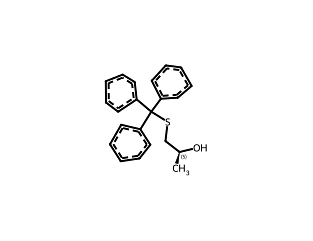 C[C@H](O)CSC(c1ccccc1)(c1ccccc1)c1ccccc1